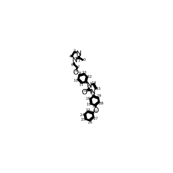 CC1=NCCN1CCOc1ccc(-n2ccn(-c3ccc(Oc4ccccc4)cc3)c2=O)cc1